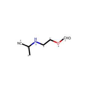 CC(C#N)NCCOC=O